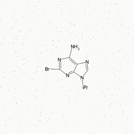 CC(C)n1cnc2c(N)nc(Br)nc21